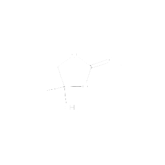 C=C1OCC(C)(F)O1